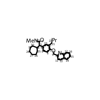 CNC(=O)C(c1ccc(OCc2ccc3ccccc3n2)c(CC(C)C)c1)C1CCCCCC1